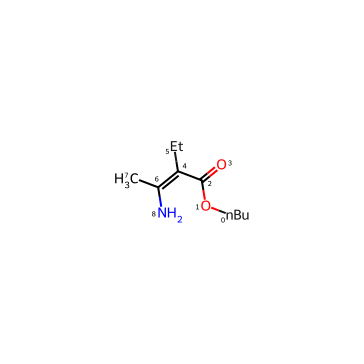 CCCCOC(=O)C(CC)=C(C)N